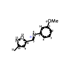 COc1cccc(/N=C/c2cc(C)no2)c1